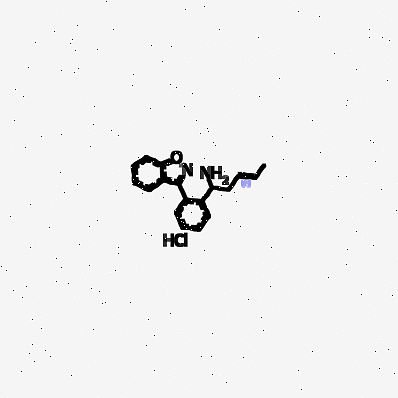 C/C=C/CC(N)c1ccccc1-c1noc2ccccc12.Cl